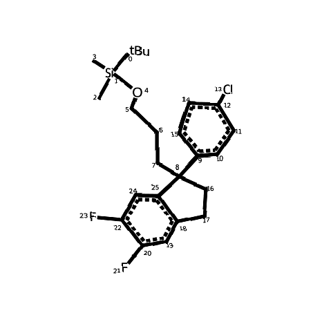 CC(C)(C)[Si](C)(C)OCCCC1(c2ccc(Cl)cc2)CCc2cc(F)c(F)cc21